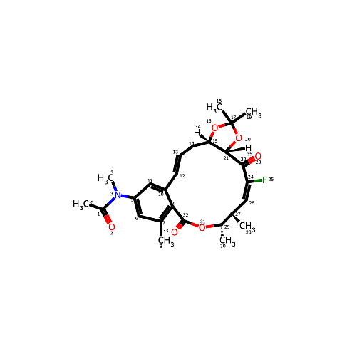 CC(=O)N(C)c1cc(C)c2c(c1)/C=C/C[C@@H]1OC(C)(C)O[C@@H]1C(=O)/C(F)=C\[C@@H](C)[C@H](C)OC2=O